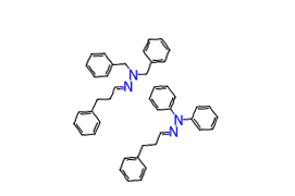 C(CCc1ccccc1)=NN(Cc1ccccc1)Cc1ccccc1.C(CCc1ccccc1)=NN(c1ccccc1)c1ccccc1